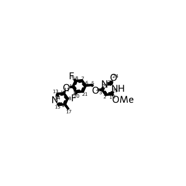 COc1cc(OCc2cc(F)c(Oc3cncc(C)c3)c(F)c2)nc(=O)[nH]1